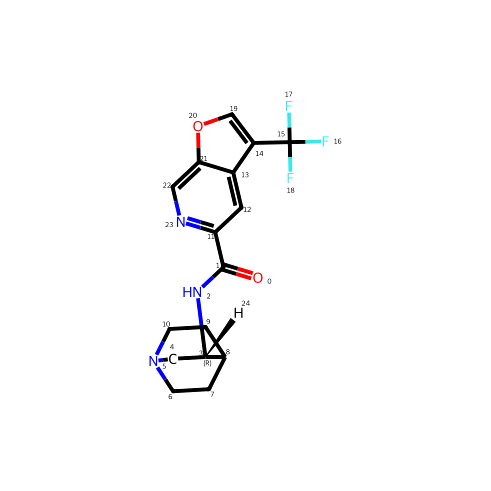 O=C(N[C@H]1CN2CCC1CC2)c1cc2c(C(F)(F)F)coc2cn1